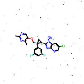 Cc1ncc(OC[C@@]2(c3cc(F)cc(F)c3)C[C@H]2c2nc3ncc(Cl)cc3n2N)c(C)n1